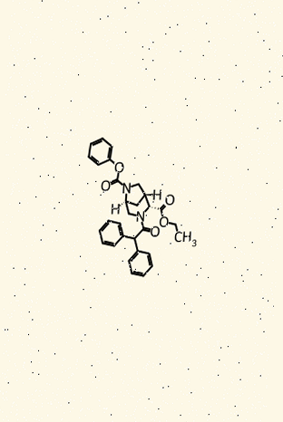 CCOC(=O)[C@H]1[C@@H]2C[C@@H](CN1C(=O)C(c1ccccc1)c1ccccc1)N(C(=O)Oc1ccccc1)C2